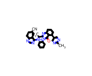 Cc1ncc(-c2cccc3nc(C(C)Nc4ncnc5ccc(C#N)cc45)n(-c4ccccc4)c(=O)c23)cn1